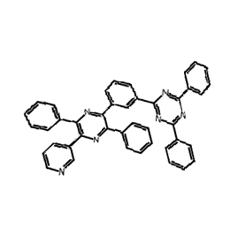 c1ccc(-c2nc(-c3ccccc3)nc(-c3cccc(-c4nc(-c5ccccc5)c(-c5cccnc5)nc4-c4ccccc4)c3)n2)cc1